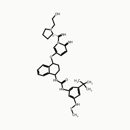 CSNc1cc(NC(=O)NC2CCC(Oc3ccc(=N)n(C(=N)[C@@H]4CCCN4CCO)c3)c3ccccc32)cc(C(C)(C)C)c1